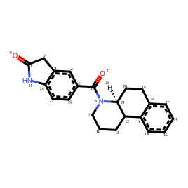 O=C1Cc2cc(C(=O)N3CCCC4c5ccccc5CC[C@@H]43)ccc2N1